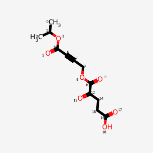 CC(C)OC(=O)C#CCOC(=O)C(=O)CCC(=O)O